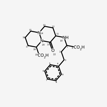 O=C(O)C(CCc1ccccc1)NC1CCN2CCCC(C(=O)O)N2C1=O